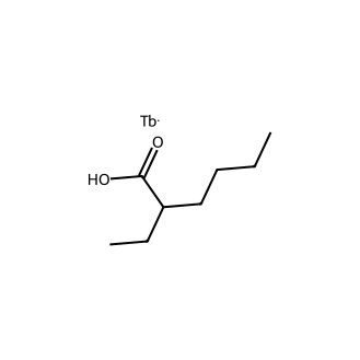 CCCCC(CC)C(=O)O.[Tb]